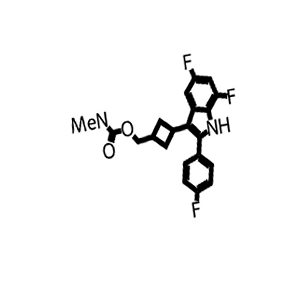 CNC(=O)OCC1CC(c2c(-c3ccc(F)cc3)[nH]c3c(F)cc(F)cc23)C1